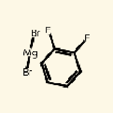 Fc1[c]cccc1F.[Br][Mg][Br]